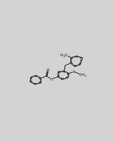 CSc1ccc(OC(=O)c2ccccc2)cc1Cc1ccccc1C